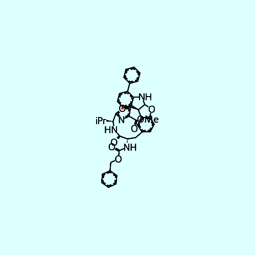 COC(=O)c1nc2oc1[C@]13c4cc(ccc4OC1Nc1c(-c4ccccc4)cccc13)C[C@H](NC(=O)OCc1ccccc1)C(=O)N[C@H]2C(C)C